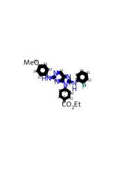 CCOC(=O)C1CCC(n2c(Nc3ccccc3F)nc3cnc(Nc4ccc(OC)cc4)nc32)CC1